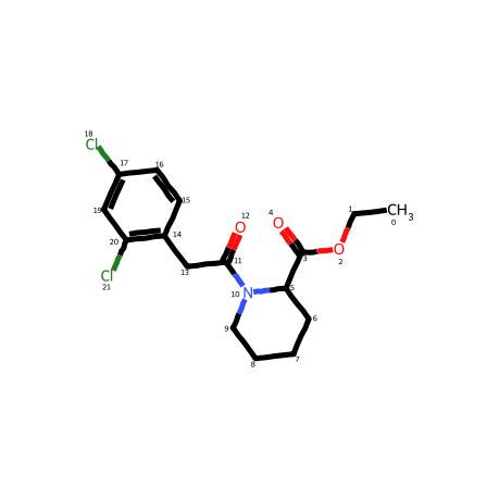 CCOC(=O)C1CCCCN1C(=O)Cc1ccc(Cl)cc1Cl